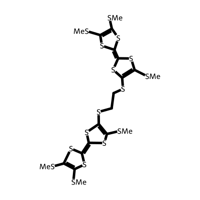 CSC1=C(SC)SC(=C2SC(SC)=C(SCCSC3=C(SC)SC(=C4SC(SC)=C(SC)S4)S3)S2)S1